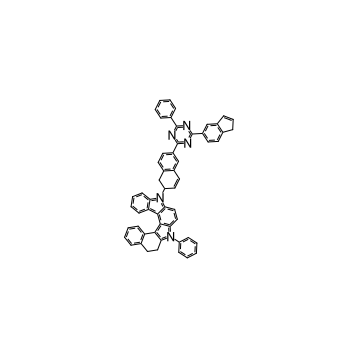 C1=Cc2cc(-c3nc(-c4ccccc4)nc(-c4ccc5c(c4)C=CC(n4c6ccccc6c6c7c8c(n(-c9ccccc9)c7ccc64)CCc4ccccc4-8)C5)n3)ccc2C1